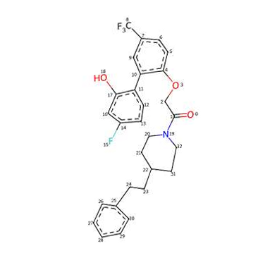 O=C(COc1ccc(C(F)(F)F)cc1-c1ccc(F)cc1O)N1CCC(CCc2ccccc2)CC1